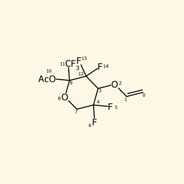 C=COC1C(F)(F)COC(OC(C)=O)(C(F)(F)F)C1(F)F